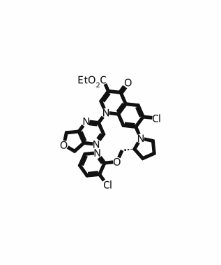 CCOC(=O)c1cn(-c2cnc3c(n2)COC3)c2cc(N3CCC[C@@H]3COc3ncccc3Cl)c(Cl)cc2c1=O